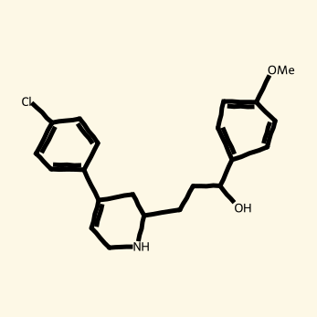 COc1ccc(C(O)CCC2CC(c3ccc(Cl)cc3)=CCN2)cc1